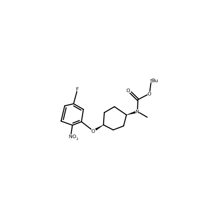 CN(C(=O)OC(C)(C)C)[C@H]1CC[C@@H](Oc2cc(F)ccc2[N+](=O)[O-])CC1